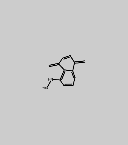 C=c1ccc(=C)c2c(NC(C)(C)C)cccc12